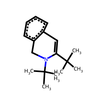 CC(C)(C)C1=Cc2ccccc2CN1C(C)(C)C